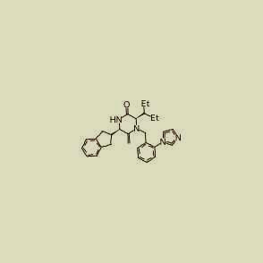 C=C1[C@@H](C2Cc3ccccc3C2)NC(=O)[C@@H](C(CC)CC)N1Cc1ccccc1-n1ccnc1